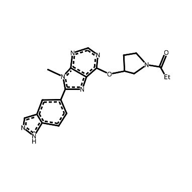 CCC(=O)N1CCC(Oc2ncnc3c2nc(-c2ccc4[nH]ncc4c2)n3C)C1